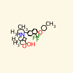 CC(C)CC(NC1CC(C(=O)O)C1(C)C)c1ccc2c(C(F)(F)F)c(OC3CCC(C)CC3)ccc2c1